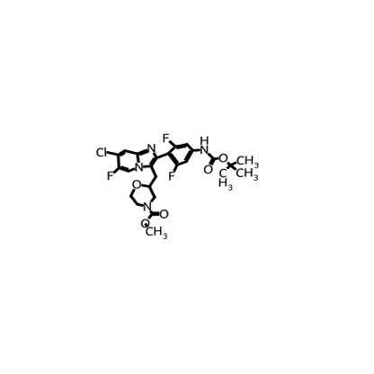 COC(=O)N1CCOC(Cc2c(-c3c(F)cc(NC(=O)OC(C)(C)C)cc3F)nc3cc(Cl)c(F)cn23)C1